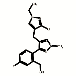 CCn1cc(Cc2cn(C)nc2-c2ccc(F)cc2CO)c(Cl)n1